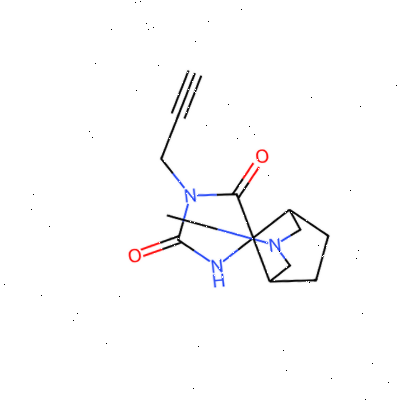 C#CCN1C(=O)NC2(C1=O)C1CCC2CN(C)C1